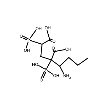 CCCC(N)C(CC(C(=O)O)P(=O)(O)O)(C(=O)O)P(=O)(O)O